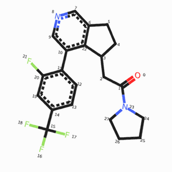 O=C(CC1CCc2cncc(-c3ccc(C(F)(F)F)cc3F)c21)N1CCCC1